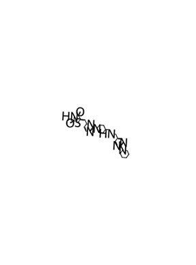 O=C1NC(=O)/C(=C/c2ccnc(N3CCC(CNCc4cnc(N5CCCCC5)nc4)CC3)n2)S1